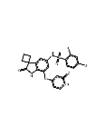 O=C1Nc2c(Oc3cc[nH]c(=O)c3)cc(NS(=O)(=O)c3ccc(Cl)cc3F)cc2C12CCC2